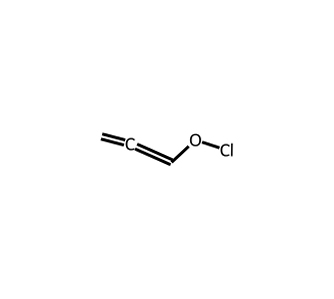 C=C=COCl